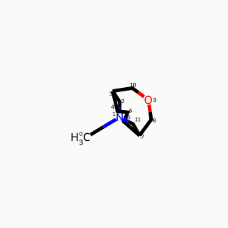 CN1CC2CCCC(COC2)C1